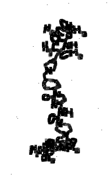 CC(C)(C)OC(=O)NC(C)(C)C(=O)N1CCN(C(=O)Nc2ccn(-c3ccc(CN4CC5C(C4)C5C(C)(C)NC(=O)OC(C)(C)C)cc3)c(=O)n2)CC1